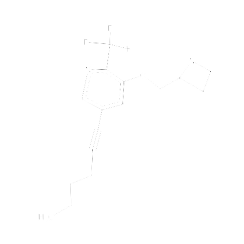 CCCCC#Cc1cnc(C(F)(F)F)c(OCC2CCN2)c1